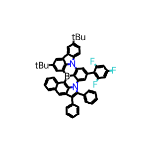 CC(C)(C)c1ccc2c(c1)c1cc(C(C)(C)C)cc3c1n2-c1cc(-c2c(F)cc(F)cc2F)cc2c1B3c1c3ccccc3cc3c(-c4ccccc4)c(-c4ccccc4)n-2c13